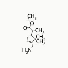 CCOC(=O)[C@H](C)[C@H]1CC=C(CN)C1(C)C